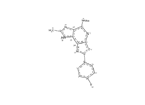 CNc1nc2oc(-c3ccc(F)cc3)nc2c2[nH]c(C)nc12